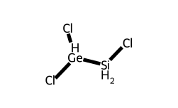 Cl[SiH2][GeH]([Cl])[Cl]